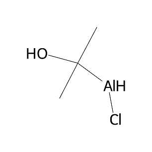 C[C](C)(O)[AlH][Cl]